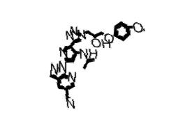 COc1ccc(OCC(O)Cn2cc(-c3cnc(-n4ncc5cc(C#N)cnc54)cc3NC(C)C)nn2)cc1